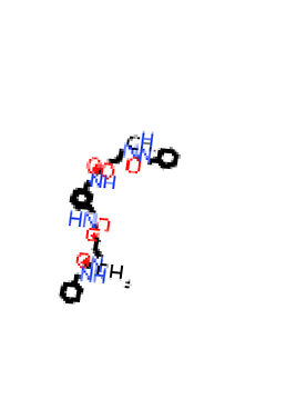 CN(CCCOC(=O)NCc1cccc(CNC(=O)OCCCN(C)C(=O)NCC2CCCCC2)c1)C(=O)NCC1CCCCC1